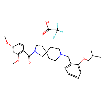 COc1ccc(C(=O)N2CCC3(CCN(Cc4ccccc4OCC(C)C)CC3)C2)c(OC)c1.O=C(O)C(F)(F)F